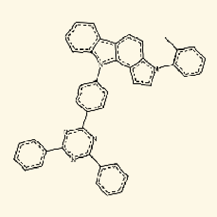 Cc1ccccc1-n1ccc2c1ccc1c3ccccc3n(-c3ccc(-c4nc(-c5ccccc5)nc(-c5ccccc5)n4)cc3)c12